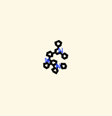 c1ccc(-c2cc(-c3cccc(-c4nc5ccccc5c5c4ccc4c5c5ccccc5n4-c4ccccc4)c3)cc(-c3ccccc3)n2)cc1